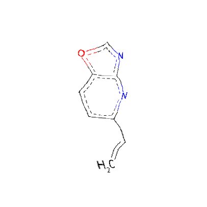 C=Cc1ccc2ocnc2n1